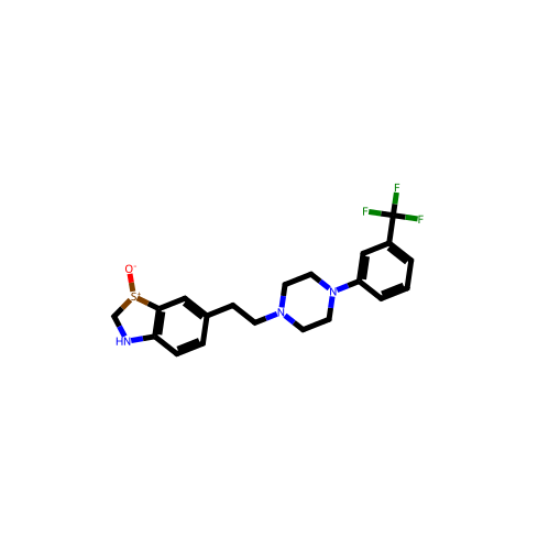 [O-][S+]1CNc2ccc(CCN3CCN(c4cccc(C(F)(F)F)c4)CC3)cc21